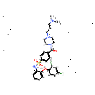 CN(C)CCCN1CCN(C(=O)c2ccc(S(=O)(=O)Nc3ccccc3Oc3ccc(Cl)cc3Cl)cc2)CC1